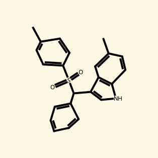 Cc1ccc(S(=O)(=O)C(c2ccccc2)c2c[nH]c3ccc(C)cc23)cc1